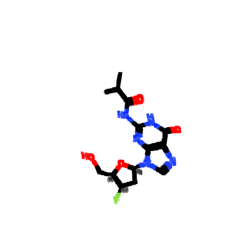 CC(C)C(=O)Nc1nc2c(ncn2[C@H]2C[C@H](F)[C@@H](CO)O2)c(=O)[nH]1